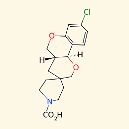 O=C(O)N1CCC2(CC1)CO[C@@H]1c3ccc(Cl)cc3OC[C@H]1C2